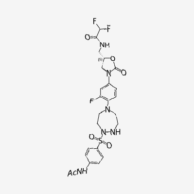 CC(=O)Nc1ccc(S(=O)(=O)N2CCN(c3ccc(N4C[C@H](CNC(=O)C(F)F)OC4=O)cc3F)CCN2)cc1